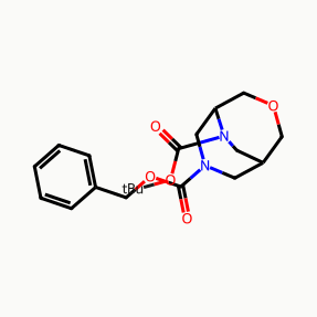 CC(C)(C)OC(=O)N1CC2COCC1CN(C(=O)OCc1ccccc1)C2